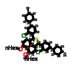 CCCCCCOc1ccc(C(SC(c2ccc(OCCCCCC)cc2)c2ccc([C@H]3CC[C@H](C)CC3)cc2Cl)c2ccc([C@H]3CC[C@H](C)CC3)cc2Cl)cc1